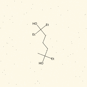 CCC(C)(O)CCCC(O)(CC)CC